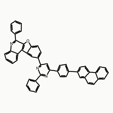 c1ccc(-c2nc(-c3ccc(-c4ccc5c(ccc6ccccc65)c4)cc3)cc(-c3ccc4oc5c(-c6ccccc6)nc6ccccc6c5c4c3)n2)cc1